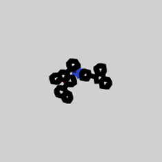 c1ccc(N(c2ccc(-c3cccc4ccccc34)cc2)c2ccc(-c3cc4ccccc4c4ccccc34)cc2)c(-c2ccc3ccccc3c2)c1